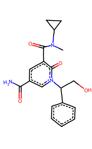 CN(C(=O)c1cc(C(N)=O)cn(C(CO)c2ccccc2)c1=O)C1CC1